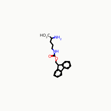 NC(CCCNC(=O)OCC1c2ccccc2-c2ccccc21)C(=O)O